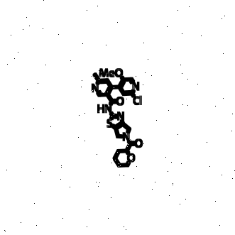 COc1cnc(Cl)cc1-c1cc(C)ncc1C(=O)Nc1nc2c(s1)CN(C(=O)C1CCCCO1)C2